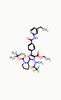 CCOC(=O)c1c(-c2ccc(C(=O)Nc3cc(CC)ccn3)cc2)nc(C2CCCCN2C(=O)OC(C)(C)C)n1N(C)C(=O)C(F)(F)F